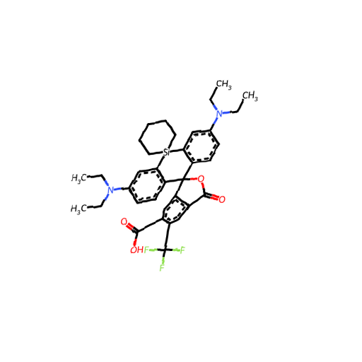 CCN(CC)c1ccc2c(c1)[Si]1(CCCCC1)c1cc(N(CC)CC)ccc1C21OC(=O)c2cc(C(F)(F)F)c(C(=O)O)cc21